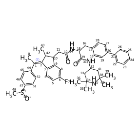 C/C(=C1/c2ccc(F)cc2C(CC(=O)NC(Cc2ccc(-c3ccccc3)cc2)C(=O)NC2CC(C)(C)NC(C)(C)C2)C1C)c1ccc([S+](C)[O-])cc1